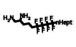 CCCCCCCC(F)(F)C(F)(F)C(F)(F)C(F)(F)CCCC(N)CN